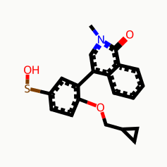 Cn1cc(-c2cc(SO)ccc2OCC2CC2)c2ccccc2c1=O